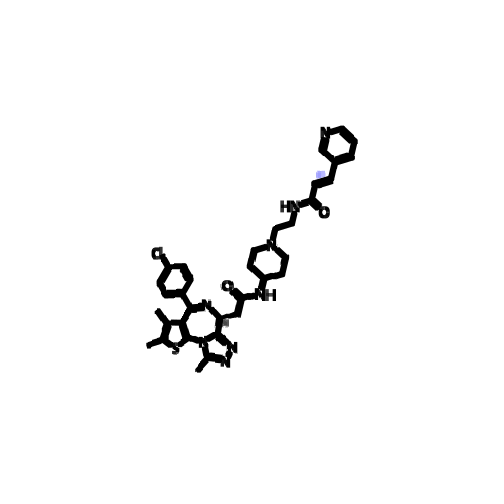 Cc1sc2c(c1C)C(c1ccc(Cl)cc1)=N[C@@H](CC(=O)NC1CCN(CCNC(=O)/C=C/c3cccnc3)CC1)c1nnc(C)n1-2